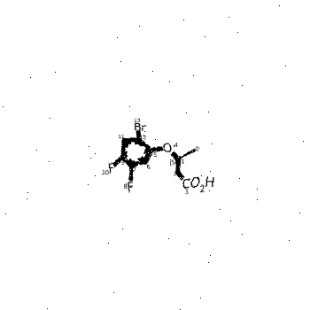 C[C@@H](CC(=O)O)Oc1cc(F)c(F)cc1Br